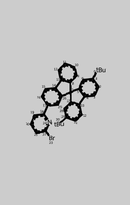 CC(C)(C)c1ccc2c(c1)C1(c3ccccc3-c3ccc(-c4cccc(Br)n4)cc31)c1cc(C(C)(C)C)ccc1-2